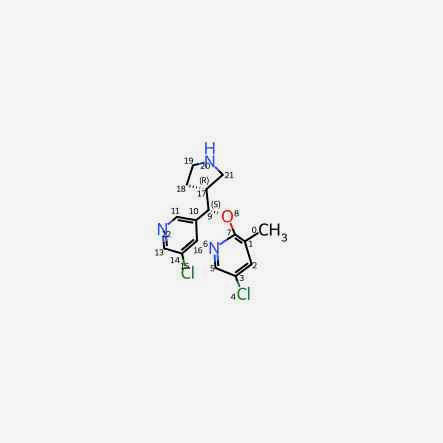 Cc1cc(Cl)cnc1O[C@H](c1cncc(Cl)c1)[C@@H]1CCNC1